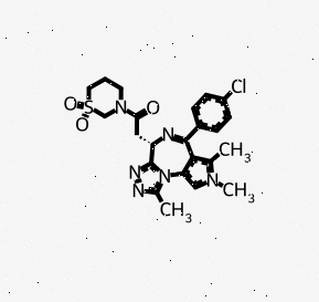 Cc1c2c(cn1C)-n1c(C)nnc1[C@H](CC(=O)N1CCCS(=O)(=O)C1)N=C2c1ccc(Cl)cc1